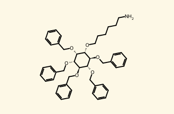 NCCCCCCO[C@@H]1[C@@H](OCc2ccccc2)[C@H](OCc2ccccc2)[C@@H](OCc2ccccc2)[C@H](OCc2ccccc2)[C@@H]1OCc1ccccc1